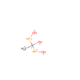 CC(O)(PO)PO